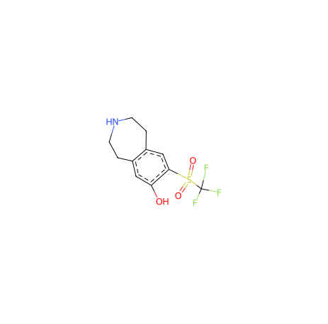 O=S(=O)(c1cc2c(cc1O)CCNCC2)C(F)(F)F